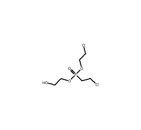 O=P(CCCl)(OCCO)OCCCl